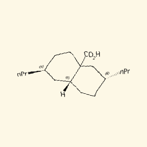 CCC[C@H]1CCC2(C(=O)O)C[C@H](CCC)CC[C@@H]2C1